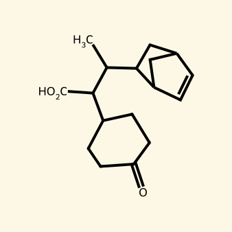 CC(C1CC2C=CC1C2)C(C(=O)O)C1CCC(=O)CC1